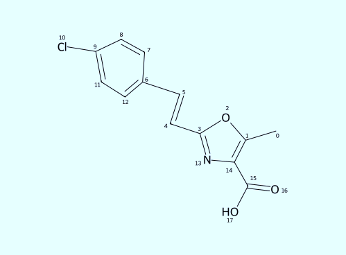 Cc1oc(C=Cc2ccc(Cl)cc2)nc1C(=O)O